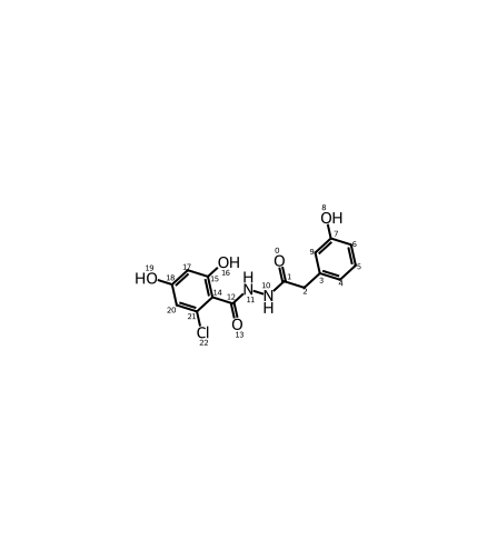 O=C(Cc1cccc(O)c1)NNC(=O)c1c(O)cc(O)cc1Cl